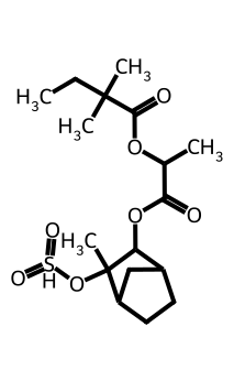 CCC(C)(C)C(=O)OC(C)C(=O)OC1C2CCC(C2)C1(C)O[SH](=O)=O